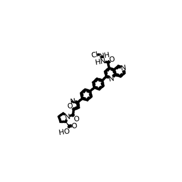 O=C(NNCl)c1cc(-c2ccc(-c3ccc(-c4cc(C(=O)N5CCC[C@@H]5C(=O)O)on4)cc3)cc2)nc2ccncc12